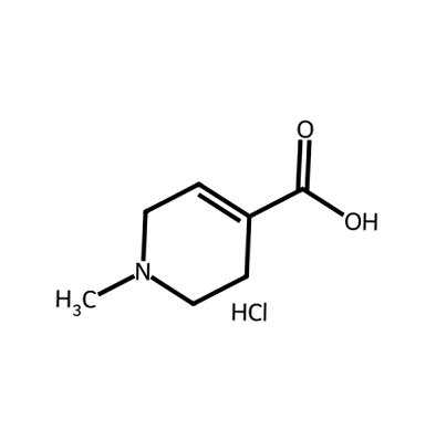 CN1CC=C(C(=O)O)CC1.Cl